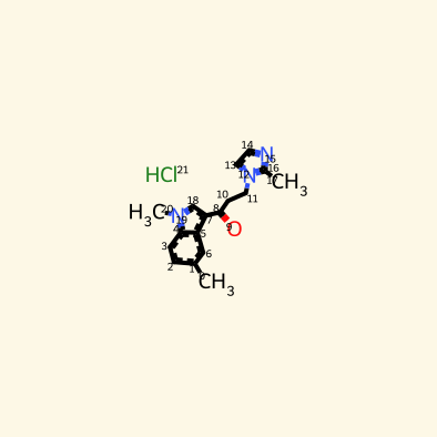 Cc1ccc2c(c1)c(C(=O)CCn1ccnc1C)cn2C.Cl